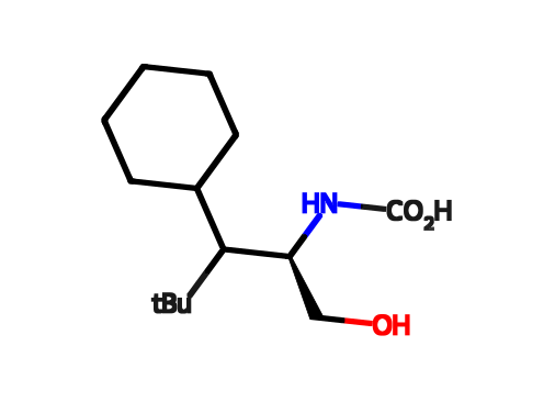 CC(C)(C)C(C1CCCCC1)[C@H](CO)NC(=O)O